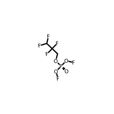 O=P(OF)(OF)OCC(F)(F)C(F)F